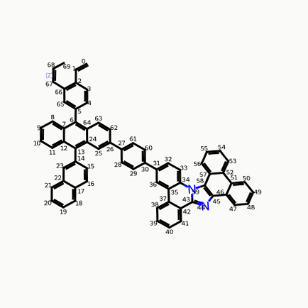 C=Cc1ccc(-c2c3ccccc3c(-c3ccc4ccccc4c3)c3cc(-c4ccc(-c5ccc6c(c5)c5ccccc5c5nc7c8ccccc8c8ccccc8c7n65)cc4)ccc23)cc1/C=C\C